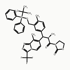 Cc1ccc(C(c2ccn3c(C(F)(F)F)nnc3c2C)[C@@H](C)C(=O)N2CCOC2=O)cc1CO[Si](c1ccccc1)(c1ccccc1)C(C)(C)C